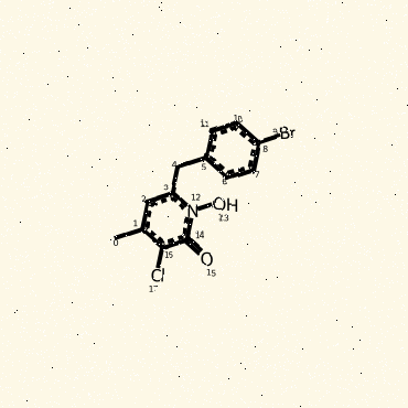 Cc1cc(Cc2ccc(Br)cc2)n(O)c(=O)c1Cl